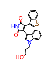 O=C1NC(=O)C(c2cn(CCCO)c3ccccc23)=C1c1csc2ccccc12